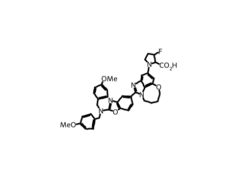 COc1ccc(CN(Cc2ccc(OC)cc2)c2nc3cc(-c4nc5cc(N6CCC(F)C6C(=O)O)cc6c5n4CCCCO6)ccc3o2)cc1